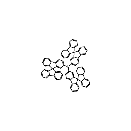 C1=CC2=C(CC1)C1(c3ccccc32)c2ccccc2-c2ccc(N(c3ccc4c(c3)C3(c5ccccc5-c5ccccc53)c3ccccc3-4)c3ccc4c(c3)C3(c5ccccc5-c5ccccc53)c3ccccc3-4)cc21